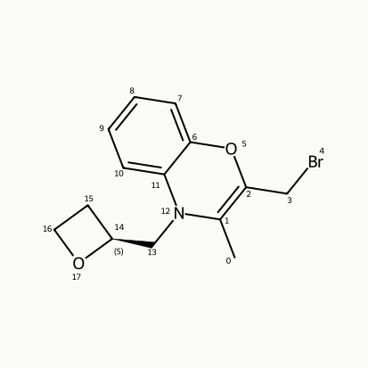 CC1=C(CBr)Oc2ccccc2N1C[C@@H]1CCO1